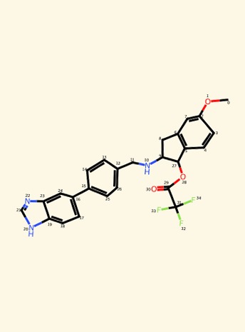 COc1ccc2c(c1)CC(NCc1ccc(-c3ccc4[nH]cnc4c3)cc1)C2OC(=O)C(F)(F)F